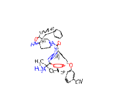 CNC(=O)[C@]1(Cc2ccccc2)CN(C(=O)[C@@H](CCOc2cccc(C#N)c2)NC(=O)C(C)(C)N)CCC1=N